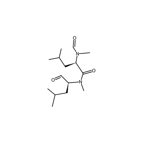 CC(C)C[C@H](C(=O)N(C)[C@H](C=O)CC(C)C)N(C)C=O